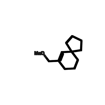 COCC1=CC2(CCCC2)CCC1